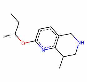 CC[C@@H](C)Oc1ccc2c(n1)C(C)CNC2